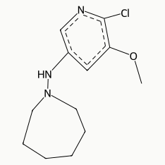 COc1cc(NN2CCCCCC2)cnc1Cl